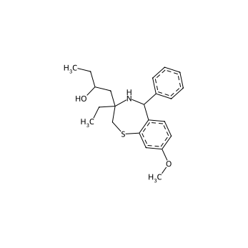 CCC(O)CC1(CC)CSc2cc(OC)ccc2C(c2ccccc2)N1